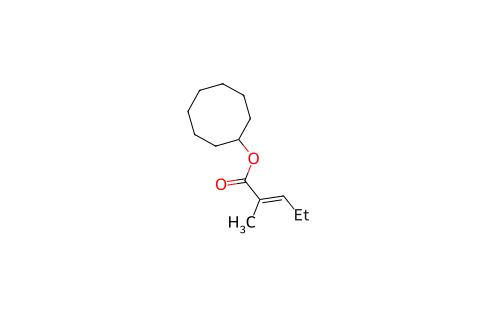 CCC=C(C)C(=O)OC1CCCCCCC1